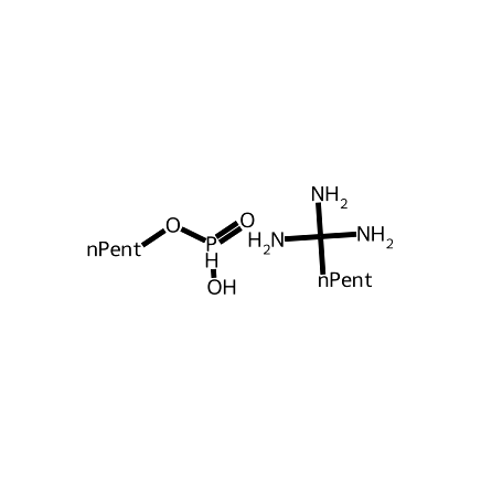 CCCCCC(N)(N)N.CCCCCO[PH](=O)O